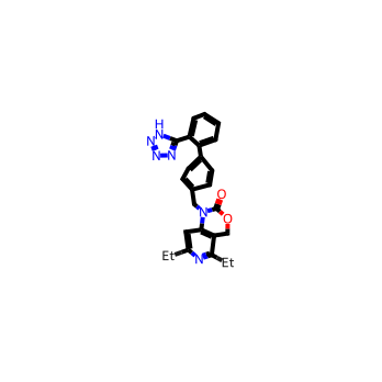 CCc1cc2c(c(CC)n1)COC(=O)N2Cc1ccc(-c2ccccc2-c2nnn[nH]2)cc1